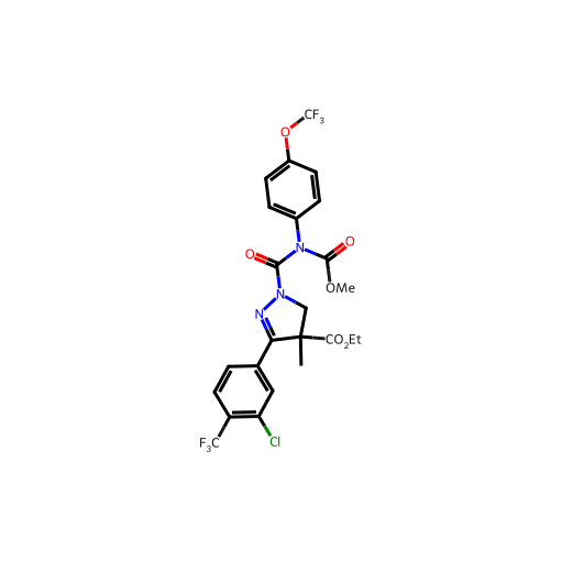 CCOC(=O)C1(C)CN(C(=O)N(C(=O)OC)c2ccc(OC(F)(F)F)cc2)N=C1c1ccc(C(F)(F)F)c(Cl)c1